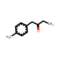 CCC(=O)Cc1ccc(C)cc1